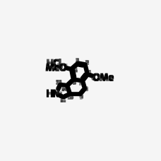 COc1ccc(OC)c2c1CCC1CNCC21.Cl